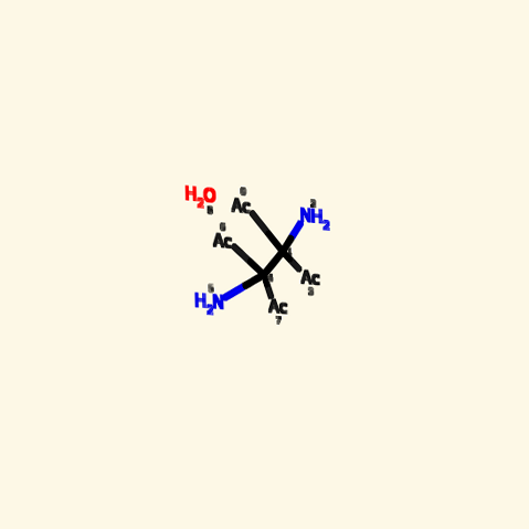 CC(=O)C(N)(C(C)=O)C(N)(C(C)=O)C(C)=O.O